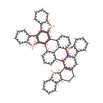 C1=C(PNc2cccc(-c3cccc4c3sc3ccccc34)c2-c2c(-c3cccc4c3oc3ccccc34)cccc2-c2cccc3c2oc2ccccc23)c2sc3ccccc3c2CC1